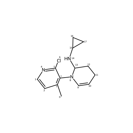 Cc1ccnc(Cl)c1N1C=CCCC1NC1CC1